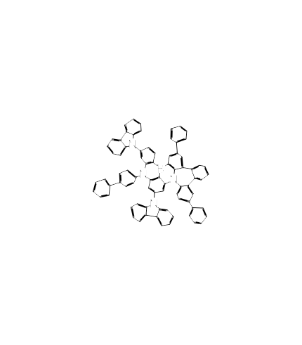 c1ccc(-c2ccc(N3c4cc(-n5c6ccccc6c6ccccc65)ccc4B4c5cc(-c6ccccc6)cc6c5N(c5ccc(-c7ccccc7)cc5-c5ccccc5-6)c5cc(-n6c7ccccc7c7ccccc76)cc3c54)cc2)cc1